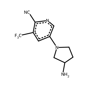 N#Cc1ncc(N2CCC(N)C2)cc1C(F)(F)F